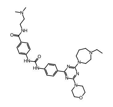 CCN1CCCN(c2nc(-c3ccc(NC(=O)Nc4ccc(C(=O)NCCN(C)C)cc4)cc3)nc(N3CCOCC3)n2)CC1